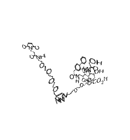 O=C(CCN1C(=O)C=CC1=O)NCCOCCOCCOCCOCc1cn(CCOCCOCCO[C@]2(C(=O)O)C[C@H](O)[C@@H](NC(=O)CO)[C@H]([C@H](O)[C@H](O)CNC(=O)Cc3ccc(-c4ccccc4)cc3)O2)nn1